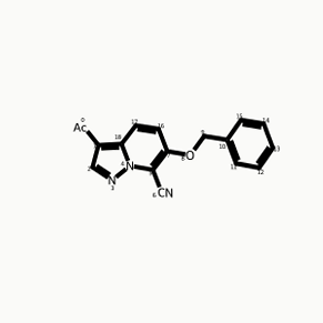 CC(=O)c1cnn2c(C#N)c(OCc3ccccc3)ccc12